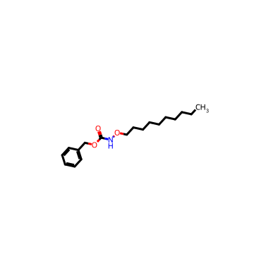 CCCCCCCCCCONC(=O)OCc1ccccc1